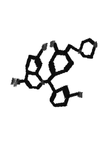 NC1=CCN(C(c2cccc(Cl)c2)c2ccc(CN3CCOCC3)c(Cl)c2)c2cc(Cl)ccc21